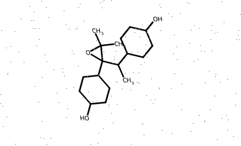 CC(C1CCC(O)CC1)C1(C2CCC(O)CC2)OC1(C)C